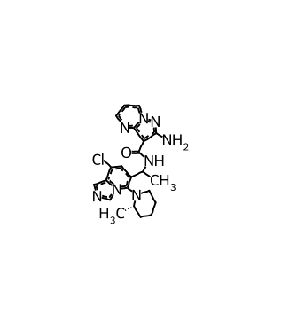 CC(NC(=O)c1c(N)nn2cccnc12)c1cc(Cl)c2cncn2c1N1CCCC[C@@H]1C